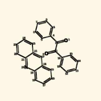 O=C(C(=O)c1ccccc1)c1ccccc1.c1ccc2nc3ccccc3cc2c1